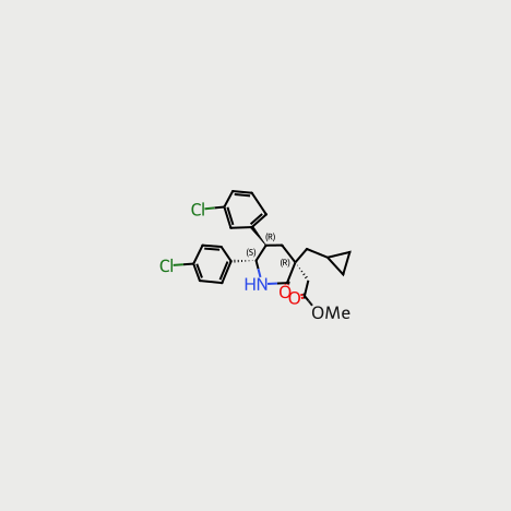 COC(=O)C[C@@]1(CC2CC2)C[C@H](c2cccc(Cl)c2)[C@@H](c2ccc(Cl)cc2)NC1=O